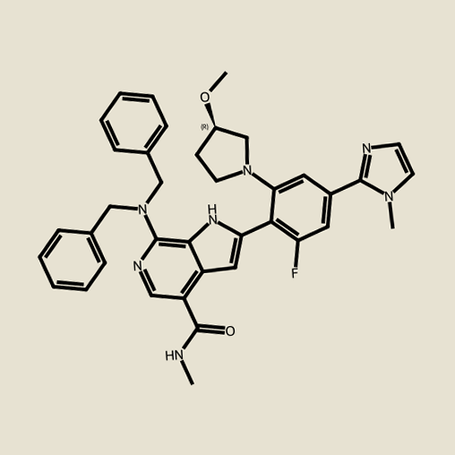 CNC(=O)c1cnc(N(Cc2ccccc2)Cc2ccccc2)c2[nH]c(-c3c(F)cc(-c4nccn4C)cc3N3CC[C@@H](OC)C3)cc12